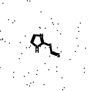 S=CSc1ncc[nH]1